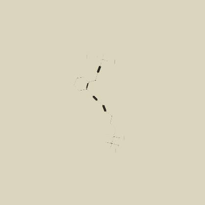 CC(C#C[Si](C)(C)C)C1=C(C#CC#CCCO[Si](C)(C)C(C)(C)C)CCCC1